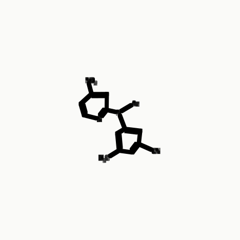 CC(=O)N(c1cc(C)cc(C#N)c1)c1cc([N+](=O)[O-])ccn1